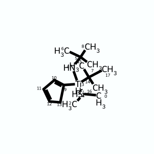 C[SiH](C)[TiH2]([NH]C(C)(C)C)([C]1=CC=CC1)[C](C)(C)C